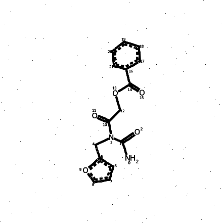 NC(=O)N(Cc1ccco1)C(=O)COC(=O)c1ccccc1